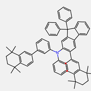 CC1(C)CCC(C)(C)c2cc(-c3cccc(N(c4ccccc4)c4cc5c(cc4-c4ccc6c(c4)C(C)(C)CCC6(C)C)-c4ccccc4C5(c4ccccc4)c4ccccc4)c3)ccc21